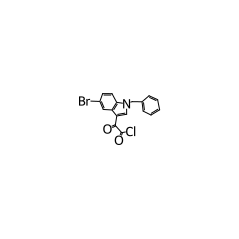 O=C(Cl)C(=O)c1cn(Cc2ccccc2)c2ccc(Br)cc12